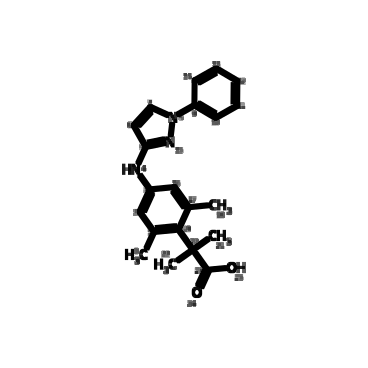 Cc1cc(Nc2ccn(-c3ccccc3)n2)cc(C)c1C(C)(C)C(=O)O